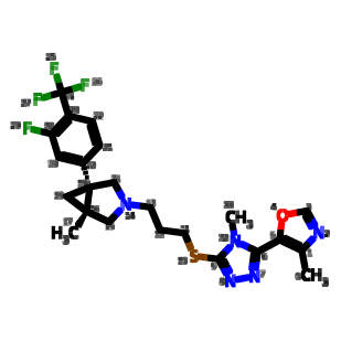 Cc1ncoc1-c1nnc(SCCCN2C[C@]3(C)C[C@@]3(c3ccc(C(F)(F)F)c(F)c3)C2)n1C